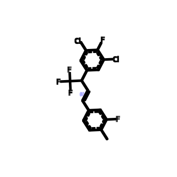 Cc1ccc(/C=C/C(c2cc(Cl)c(F)c(Cl)c2)C(F)(F)F)cc1F